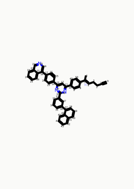 C#CCC/C=C(\C)c1ccc(-c2cc(-c3c#cc(-c4cncc5ccccc45)cc3)nc(-c3cccc(-c4cccc5ccccc45)c3)n2)cc1